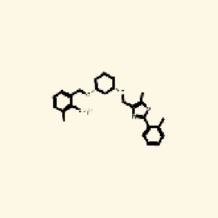 Cc1ccccc1-c1nc(CO[C@H]2CCC[C@@H](OCc3cccc(C)c3C(=O)O)C2)c(C)o1